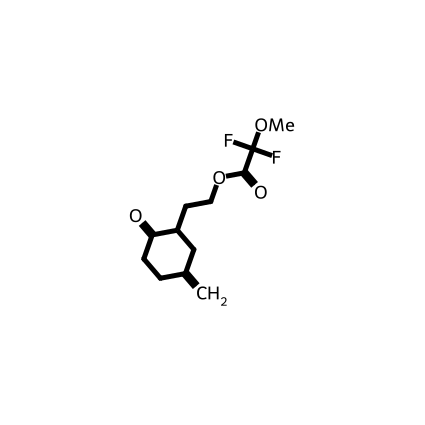 C=C1CCC(=O)C(CCOC(=O)C(F)(F)OC)C1